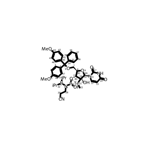 COc1ccc(C(OC[C@H]2O[C@@H](n3ccc(=O)[nH]c3=O)[C@@](O)([Te]C)[C@@H]2OP(O)N(CCC#N)N(C(C)C)C(C)C)(c2ccccc2)c2ccc(OC)cc2)cc1